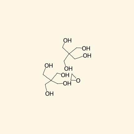 C1CO1.OCC(CO)(CO)CO.OCC(CO)(CO)CO